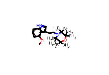 BC1(B)OC(B)(B)C(B)(B)N(CCc2c[nH]c3cccc(OC)c23)C1(B)B